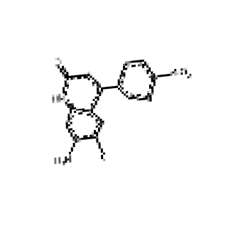 Nc1cc2[nH]c(=O)cc(-c3ccc([N+](=O)[O-])cc3)c2cc1Cl